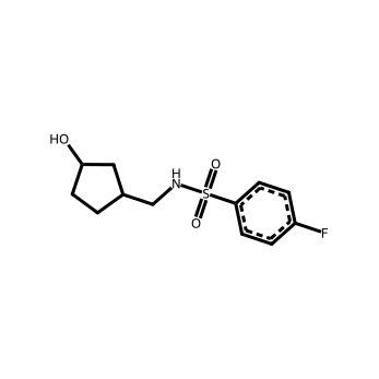 O=S(=O)(NCC1CCC(O)C1)c1ccc(F)cc1